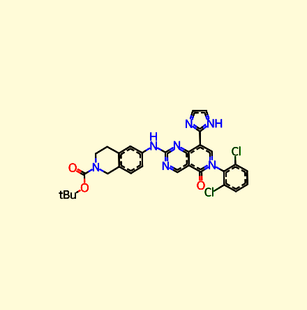 CC(C)(C)OC(=O)N1CCc2cc(Nc3ncc4c(=O)n(-c5c(Cl)cccc5Cl)cc(-c5ncc[nH]5)c4n3)ccc2C1